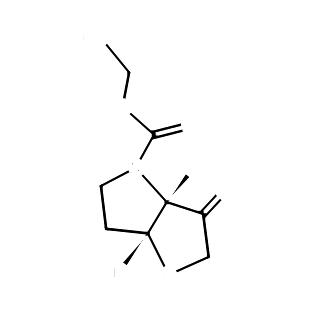 CC(C)(C)COC(=O)N1CC[C@H]2OCC(=O)[C@H]21